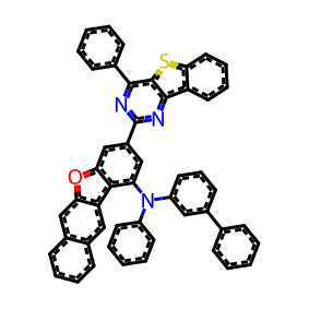 c1ccc(-c2cccc(N(c3ccccc3)c3cc(-c4nc(-c5ccccc5)c5sc6ccccc6c5n4)cc4oc5cc6ccccc6cc5c34)c2)cc1